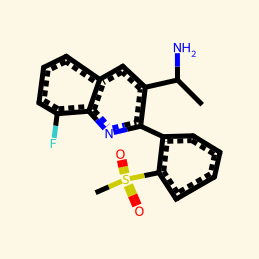 CC(N)c1cc2cccc(F)c2nc1-c1ccccc1S(C)(=O)=O